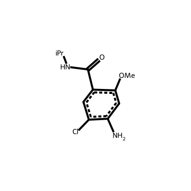 COc1cc(N)c(Cl)cc1C(=O)NC(C)C